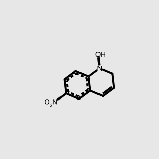 O=[N+]([O-])c1ccc2c(c1)C=CCN2O